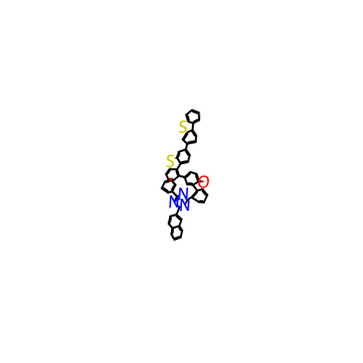 c1ccc(-c2nc(-c3ccc4ccccc4c3)nc(-c3cccc4oc5ccc(-c6cccc7sc8cc(-c9ccc%10c(c9)sc9ccccc9%10)ccc8c67)cc5c34)n2)cc1